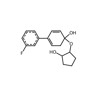 OC1CCCC1OC1(O)C=CC(c2cccc(F)c2)=CC1